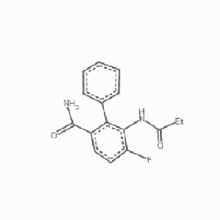 CCC(=O)Nc1c(F)ccc(C(N)=O)c1-c1ccccc1